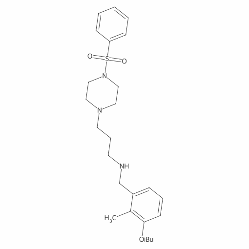 Cc1c(CNCCCN2CCN(S(=O)(=O)c3ccccc3)CC2)cccc1OCC(C)C